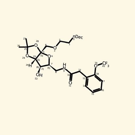 CCCCCCCCCCCCOC[C@@]12O[C@@H](CNC(=O)Cc3ccccc3OC(F)(F)F)[C@@H](O)[C@@H]1OC(C)(C)O2